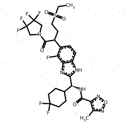 CCS(=O)(=O)CCC(C(=O)N1CC(F)(F)C(F)(F)C1)c1ccc2[nH]c([C@@H](NC(=O)c3nonc3C)C3CCC(F)(F)CC3)nc2c1F